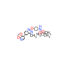 Cc1nc(O[C@H]2CC[C@@H](NC(=O)OC(C)(C)C)CC2)nc2ccc(-c3ccnc4c3OCCO4)cc12